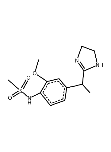 COc1cc(C(C)C2=NCCN2)ccc1NS(C)(=O)=O